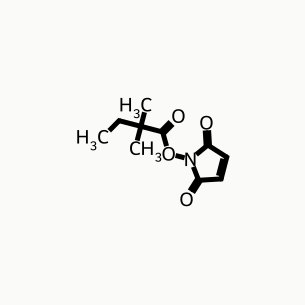 CCC(C)(C)C(=O)ON1C(=O)C=CC1=O